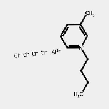 CCCC[n+]1cccc(C)c1.[Al+3].[Cl-].[Cl-].[Cl-].[Cl-]